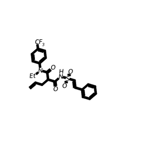 C=CCC(C(=O)NS(=O)(=O)/C=C/c1ccccc1)C(=O)N(CC)c1ccc(C(F)(F)F)cc1